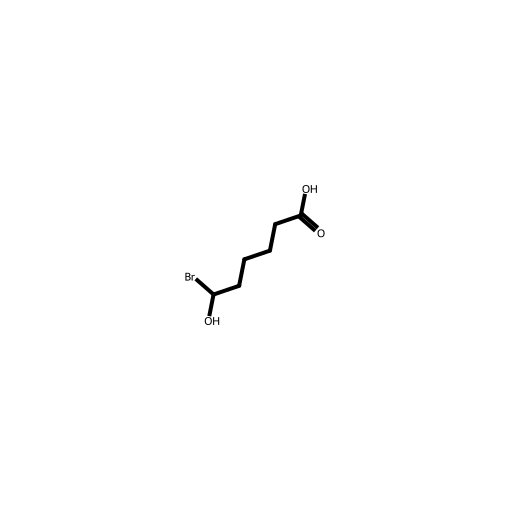 O=C(O)CCCCC(O)Br